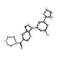 O=C(c1cnc2c(cnn2-c2cc(Cl)cc(-c3nnc[nH]3)c2)c1)N1CCSCC1